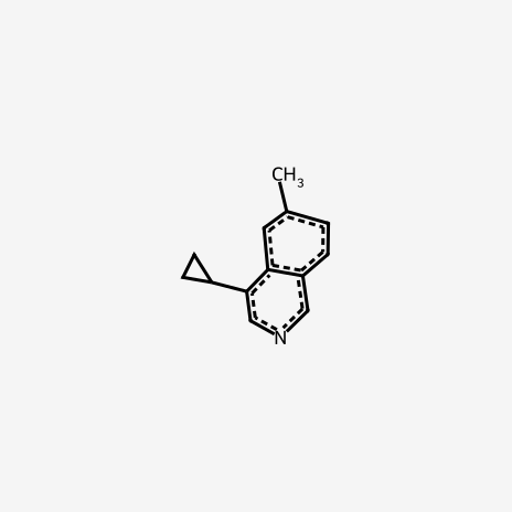 Cc1ccc2cncc(C3CC3)c2c1